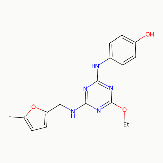 CCOc1nc(NCc2ccc(C)o2)nc(Nc2ccc(O)cc2)n1